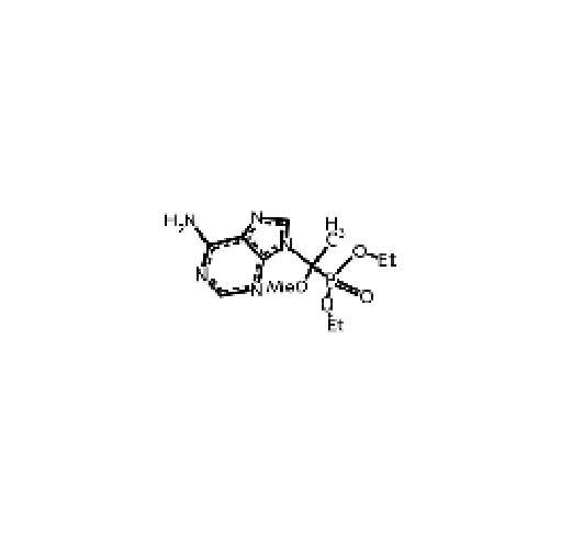 CCOP(=O)(OCC)C(C)(OC)n1cnc2c(N)ncnc21